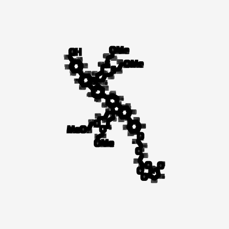 COCCOCCCC1(CCCOCCOC)c2cc(-c3ccc(OCCOCCC(=O)ON4C(=O)CCC4=O)cc3)ccc2-c2ccc(-c3ccc4c(c3)[Si](CCCSCCOC)(CCCSCCOC)c3cc(-c5ccc(CO)cc5)ccc3-4)cc21